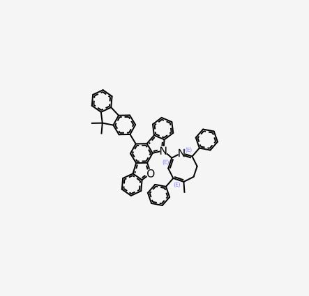 C/C1=C(c2ccccc2)/C=C(n2c3ccccc3c3c(-c4ccc5c(c4)C(C)(C)c4ccccc4-5)cc4c5ccccc5oc4c32)\N=C(\c2ccccc2)CC1